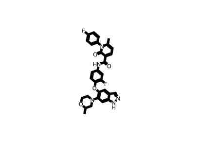 Cc1ccc(C(=O)Nc2ccc(Oc3cc4cn[nH]c4cc3N3CCOC(C)C3)c(F)c2)c(=O)n1-c1ccc(F)cc1